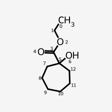 CCOC(=O)C1(O)CCCCCC1